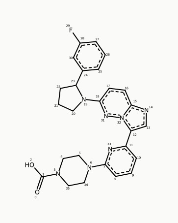 O=C(O)N1CCN(c2cccc(-c3cnc4ccc(N5CCCC5c5cccc(F)c5)nn34)n2)CC1